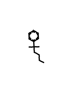 CCCCC(C)(C)c1cc[c]cc1